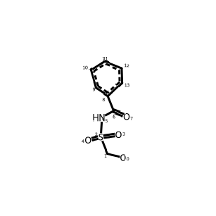 [O]CS(=O)(=O)NC(=O)c1ccccc1